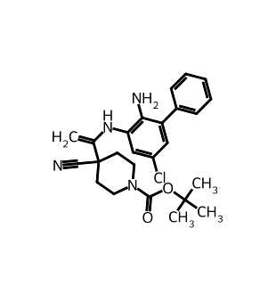 C=C(Nc1cc(Cl)cc(-c2ccccc2)c1N)C1(C#N)CCN(C(=O)OC(C)(C)C)CC1